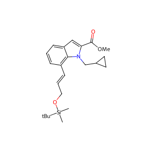 COC(=O)c1cc2cccc(/C=C/CO[Si](C)(C)C(C)(C)C)c2n1CC1CC1